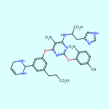 CCOC(=O)CCc1cc(Oc2nc(Oc3cc(C#N)ccc3[N+](=O)[O-])nc(NC(Cc3c[nH]cn3)C(=O)O)c2[N+](=O)[O-])cc(C2NC=CCN2)c1